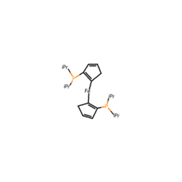 CC(C)P(C1=[C]([Fe][C]2=C(P(C(C)C)C(C)C)C=CC2)CC=C1)C(C)C